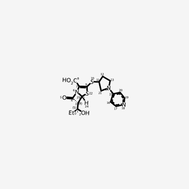 CC[C@H](O)[C@@H]1C(=O)N2C(C(=O)O)=C(SC3CCN(c4ccncc4)C3)S[C@H]12